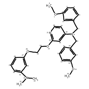 COc1cccc(CN(Cc2cccc(OC)c2)c2ccnc(OCCOc3cccc(N(C)C)c3)c2)c1